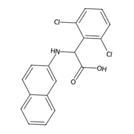 O=C(O)C(Nc1ccc2ccccc2c1)c1c(Cl)cccc1Cl